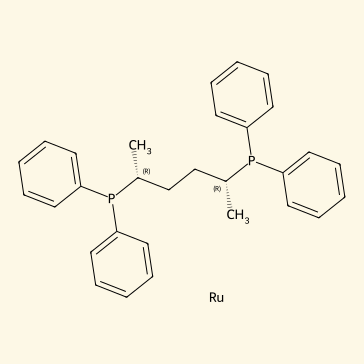 C[C@H](CC[C@@H](C)P(c1ccccc1)c1ccccc1)P(c1ccccc1)c1ccccc1.[Ru]